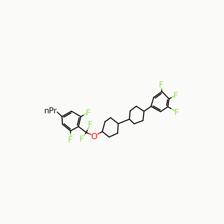 CCCc1cc(F)c(C(F)(F)OC2CCC(C3CCC(c4cc(F)c(F)c(F)c4)CC3)CC2)c(F)c1